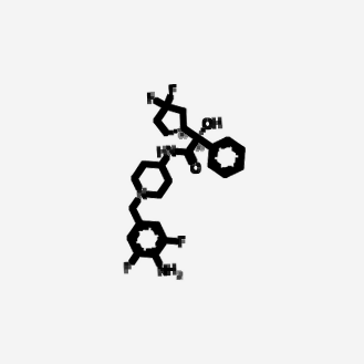 Nc1c(F)cc(CN2CCC(NC(=O)[C@](O)(c3ccccc3)[C@@H]3CCC(F)(F)C3)CC2)cc1F